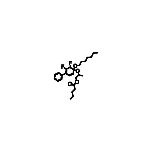 CCCCCCCOC1(OC(C)COC(=O)CCCC)C=CC(c2ccccc2)=C(F)C1F